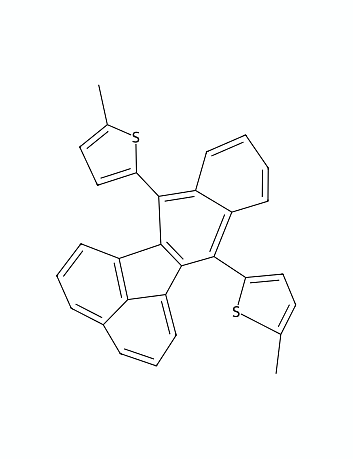 Cc1ccc(-c2c3c(c(-c4ccc(C)s4)c4ccccc24)-c2cccc4cccc-3c24)s1